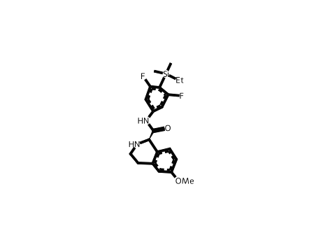 CC[Si](C)(C)c1c(F)cc(NC(=O)[C@@H]2NCCc3cc(OC)ccc32)cc1F